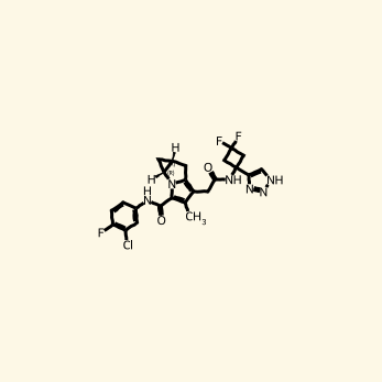 Cc1c(CC(=O)NC2(c3c[nH]nn3)CC(F)(F)C2)c2n(c1C(=O)Nc1ccc(F)c(Cl)c1)[C@@H]1C[C@@H]1C2